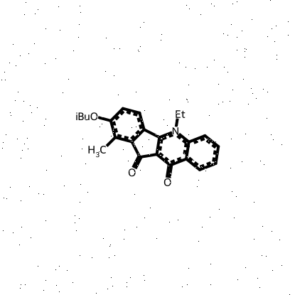 CCn1c2c(c(=O)c3ccccc31)C(=O)c1c-2ccc(OCC(C)C)c1C